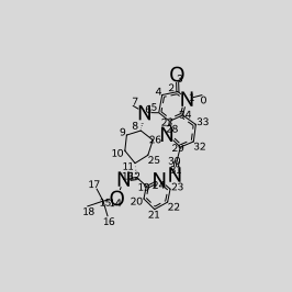 Cn1c(=O)cc(N(C)[C@H]2CC[C@@H](/C(=N/OC(C)(C)C)c3ccccn3)CC2)c2nc(C#N)ccc21